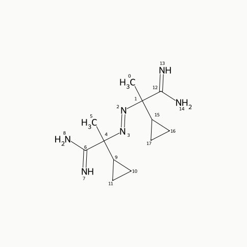 CC(N=NC(C)(C(=N)N)C1CC1)(C(=N)N)C1CC1